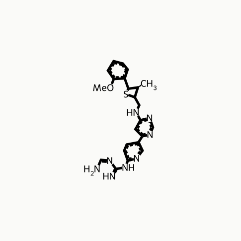 COc1ccccc1C1SC(CNc2cc(-c3ccc(NC(=N)/N=C\N)nc3)ncn2)[C@H]1C